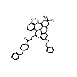 CC1(C)CC(=O)C2=C(C1)NC1=C(O)CCC=C1N(C(=O)CCC(=O)N1CCN(Cc3ccccc3)CC1)C2c1ccc(OCc2ccccc2)cc1Cl